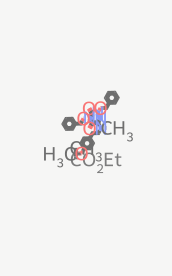 CCOC(=O)C(C)(C)Oc1ccc(CCN(C)c2nn(OCc3ccccc3)c(=O)n(OCc3ccccc3)c2=O)cc1